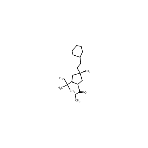 CCC(=O)[C@@H]1C[C@@](C)(CCC2CCCCC2)CN1C(C)(C)C